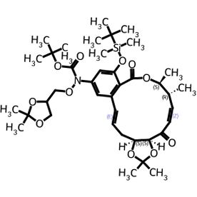 C[C@@H]1/C=C\C(=O)[C@H]2OC(C)(C)O[C@H]2C/C=C/c2cc(N(OCC3COC(C)(C)O3)C(=O)OC(C)(C)C)cc(O[Si](C)(C)C(C)(C)C)c2C(=O)O[C@H]1C